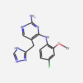 CCOc1cc(F)ccc1Nc1nc(N)ncc1Cc1nnc[nH]1